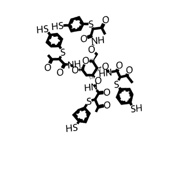 CC(=O)C(Sc1ccc(S)cc1)C(=O)NOC[C@@H]1O[C@H](ONC(=O)C(Sc2ccc(S)cc2)C(C)=O)C[C@H](ONC(=O)C(Sc2ccc(S)cc2)C(C)=O)[C@H]1ONC(=O)C(Sc1ccc(S)cc1)C(C)=O